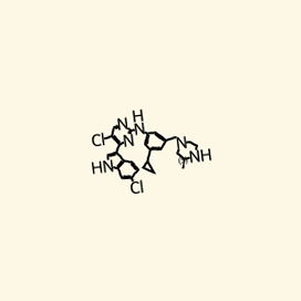 C[C@H]1CN(Cc2cc(Nc3ncc(Cl)c(-c4c[nH]c5cc(Cl)ccc45)n3)cc(C3CC3)c2)CCN1